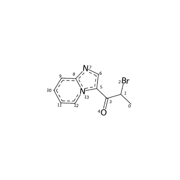 CC(Br)C(=O)c1cnc2ccccn12